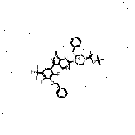 Cn1nc(-c2cc(C(F)(F)F)c(F)c(OCc3ccccc3)c2F)c2cnc(N3CCN(C(=O)OC(C)(C)C)C[C@H]3Cc3ccccc3)nc21